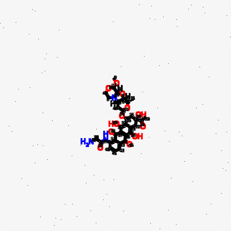 CO[C@H]1OCCN2[C@@H]1O[C@@H]1[C@H](C)O[C@@H](O[C@H]3C[C@](O)(C(C)=O)Cc4c(O)c5c(c(O)c43)C(=O)c3c(NC(=O)CN)cccc3C5=O)C[C@@H]12